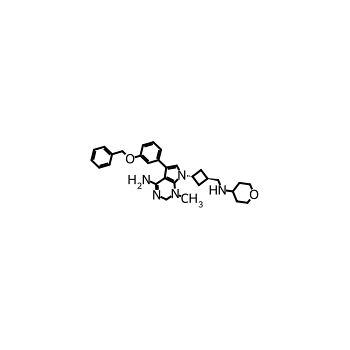 CN1CN=C(N)c2c(-c3cccc(OCc4ccccc4)c3)cn([C@H]3C[C@H](CNC4CCOCC4)C3)c21